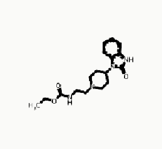 CCOC(=O)NCCN1CCC(n2c(=O)[nH]c3ccccc32)CC1